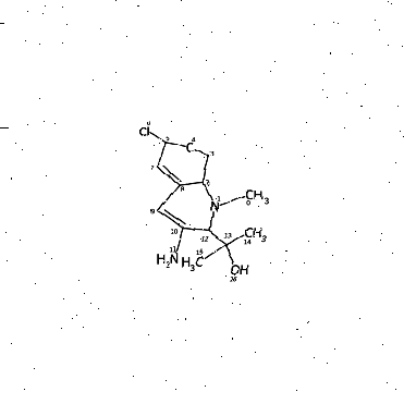 CN1C2CCC(Cl)C=C2C=C(N)C1C(C)(C)O